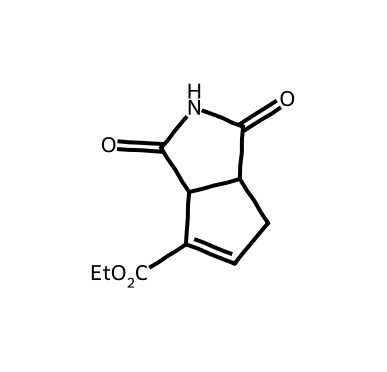 CCOC(=O)C1=CCC2C(=O)NC(=O)C12